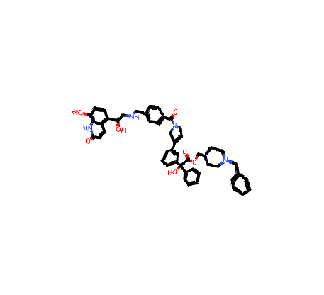 O=C(c1ccc(CNCC(O)c2ccc(O)c3[nH]c(=O)ccc23)cc1)N1CC=C(c2cccc(C(O)(C(=O)OCC3CCN(Cc4ccccc4)CC3)c3ccccc3)c2)C1